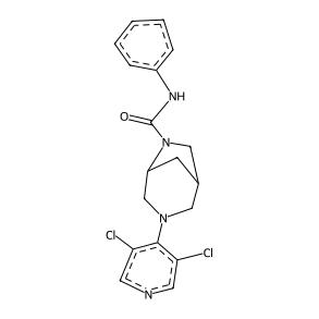 O=C(Nc1ccccc1)N1CC2CC1CN(c1c(Cl)cncc1Cl)C2